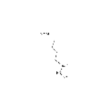 CC[CH]NC(=O)CCCCCCCCC